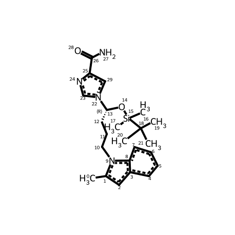 Cc1cc2ccccc2n1CCC[C@@H](O[Si](C)(C)C(C)(C)C)n1cnc(C(N)=O)c1